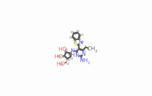 CCc1nc(N)nc(N[C@@H]2C[C@H](CO)[C@@H](O)[C@H]2O)c1-c1nc2ccccc2s1